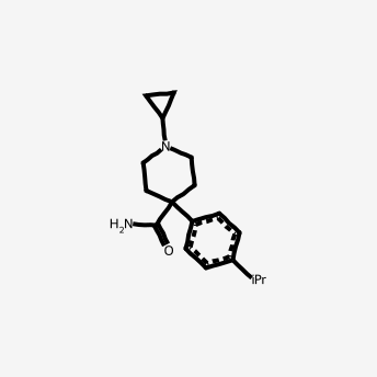 CC(C)c1ccc(C2(C(N)=O)CCN(C3CC3)CC2)cc1